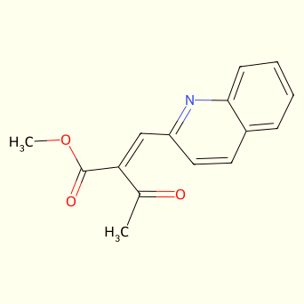 COC(=O)/C(=C/c1ccc2ccccc2n1)C(C)=O